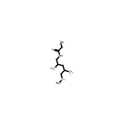 CC(CNC(=O)CC(C)(C)C)CC(C)COC(C)(C)C